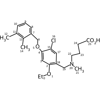 CCOc1cc(OCc2cccc(C)c2C)c(Cl)cc1CN(C)CCCC(=O)O